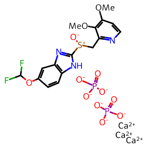 COc1ccnc(C[S+]([O-])c2nc3cc(OC(F)F)ccc3[nH]2)c1OC.O=P([O-])([O-])[O-].O=P([O-])([O-])[O-].[Ca+2].[Ca+2].[Ca+2]